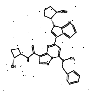 CO[C@@H]1CCC[C@H]1n1cc(-c2cc(N(C)Cc3ccccc3)n3ncc(C(=O)NC4CC[C@H]4O)c3n2)c2cccnc21